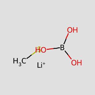 C[S-].OB(O)O.[Li+]